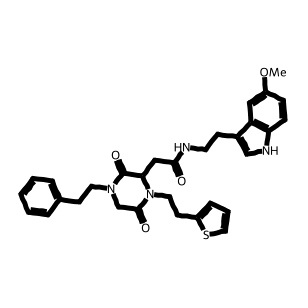 COc1ccc2[nH]cc(CCNC(=O)CC3C(=O)N(CCc4ccccc4)CC(=O)N3CCc3cccs3)c2c1